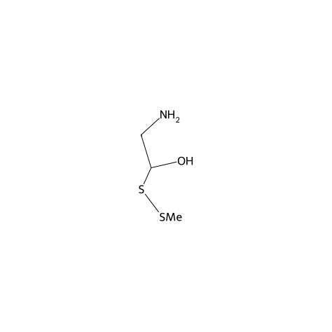 CSSC(O)CN